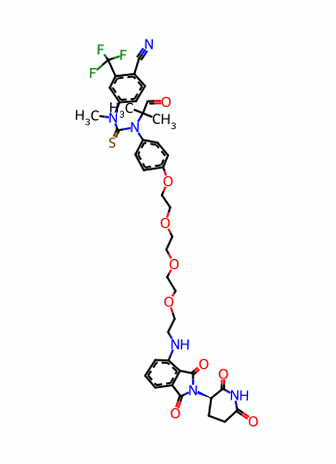 CN(C(=S)N(c1ccc(OCCOCCOCCOCCNc2cccc3c2C(=O)N([C@@H]2CCC(=O)NC2=O)C3=O)cc1)C(C)(C)C=O)c1ccc(C#N)c(C(F)(F)F)c1